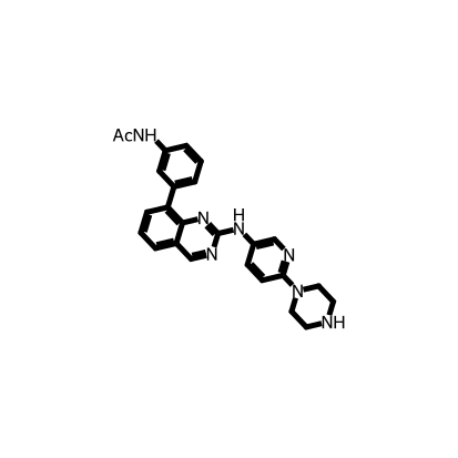 CC(=O)Nc1cccc(-c2cccc3cnc(Nc4ccc(N5CCNCC5)nc4)nc23)c1